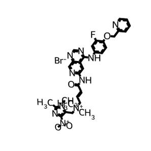 Cc1nc([N+](=O)[O-])c(C[N+](C)(C)C/C=C/C(=O)Nc2cc3c(Nc4ccc(OCc5ccccn5)c(F)c4)ncnc3cn2)n1C.[Br-]